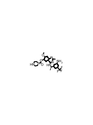 COc1cc2nc(C)nc(N[C@H](C)c3cc(N)cc(C(F)(F)F)c3)c2cc1OC(=O)N1CCNCC1